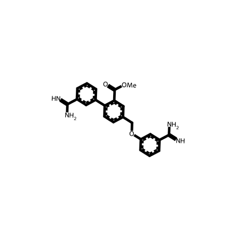 COC(=O)c1cc(COc2cccc(C(=N)N)c2)ccc1-c1cccc(C(=N)N)c1